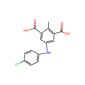 Cc1c(C(=O)O)cc(Nc2ccc(Cl)cc2)cc1C(=O)O